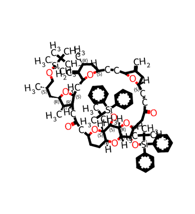 C=C1C[C@@H]2CCC(=O)C[C@H]3O[C@H]4[C@@H](O[Si](c5ccccc5)(c5ccccc5)C(C)(C)C)[C@H]5OC(CC[C@@H]5O[C@H]4[C@H]3O[Si](c3ccccc3)(c3ccccc3)C(C)(C)C)CC(=O)C[C@@H]3[C@@H](C)[C@@H](C[C@H](C)CO[Si](C)(C)C(C)(C)C)O[C@H]3CC3O[C@@H](CCC1O2)C[C@@H](C)C3=C